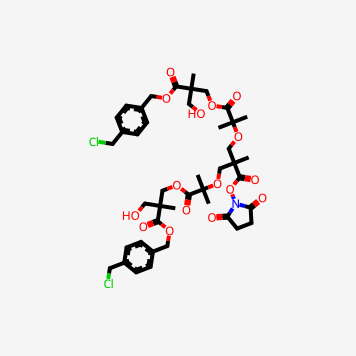 CC(CO)(COC(=O)C(C)(C)OCC(C)(COC(C)(C)C(=O)OCC(C)(CO)C(=O)OCc1ccc(CCl)cc1)C(=O)ON1C(=O)CCC1=O)C(=O)OCc1ccc(CCl)cc1